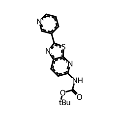 CC(C)(C)OC(=O)Nc1ccc2nc(-c3cccnc3)sc2n1